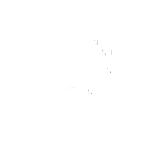 CN(C(=S)NN)[C@@H]1CCCN(C(=O)OCc2ccccc2)C1